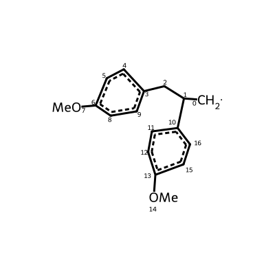 [CH2]C(Cc1ccc(OC)cc1)c1ccc(OC)cc1